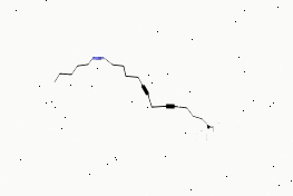 CCCCC/C=C\CCCCC#CCC#CCCCC(=O)O